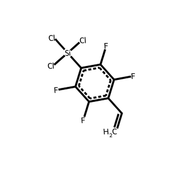 C=Cc1c(F)c(F)c([Si](Cl)(Cl)Cl)c(F)c1F